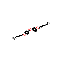 C=CCCCCOc1ccc(C(=O)Oc2ccc(OCCCCCCCC)cc2)cc1